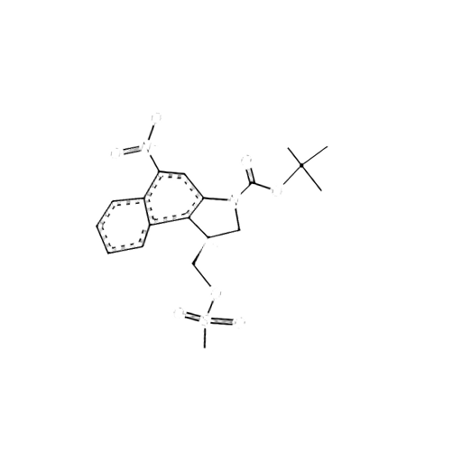 CC(C)(C)OC(=O)N1C[C@@H](COS(C)(=O)=O)c2c1cc([N+](=O)[O-])c1ccccc21